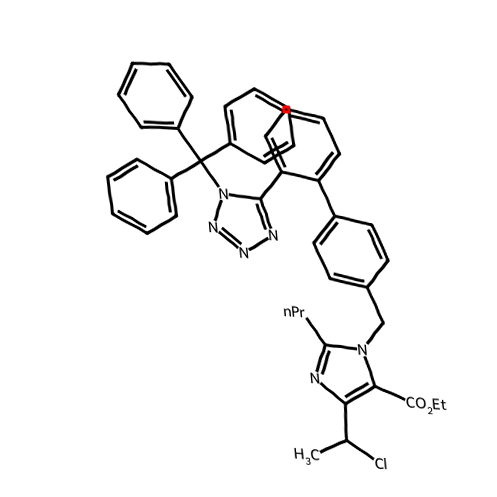 CCCc1nc(C(C)Cl)c(C(=O)OCC)n1Cc1ccc(-c2ccccc2-c2nnnn2C(c2ccccc2)(c2ccccc2)c2ccccc2)cc1